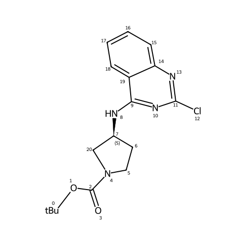 CC(C)(C)OC(=O)N1CC[C@H](Nc2nc(Cl)nc3ccccc23)C1